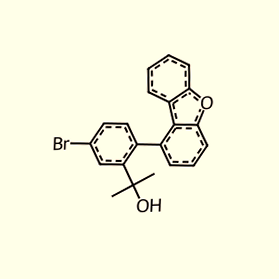 CC(C)(O)c1cc(Br)ccc1-c1cccc2oc3ccccc3c12